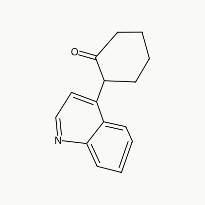 O=C1CCCCC1c1ccnc2ccccc12